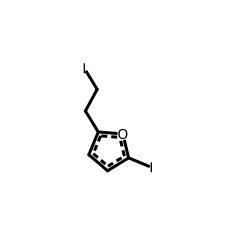 ICCc1ccc(I)o1